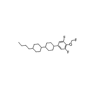 CCCCC1CCC(C2CCC(c3cc(F)c(OCF)c(F)c3)CC2)CC1